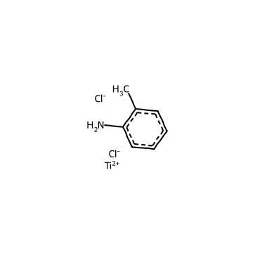 Cc1ccccc1N.[Cl-].[Cl-].[Ti+2]